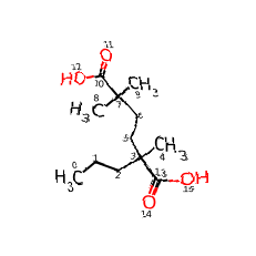 CCCC(C)(CCC(C)(C)C(=O)O)C(=O)O